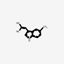 Cc1ccc2[nH]cc(C=C(C#N)C#N)c2c1